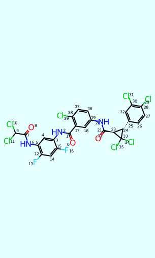 O=C(Nc1cc(NC(=O)C(Cl)Cl)c(F)cc1F)c1cc(NC(=O)[C@H]2[C@H](c3ccc(Cl)c(Cl)c3)C2(Cl)Cl)ccc1Cl